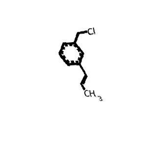 CC=Cc1cccc(CCl)c1